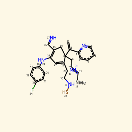 C=C(c1ccccn1)C1(C/C(N)=C/NC)CC(C=N)=C(Nc2ccc(F)cc2)C=C1CCNS